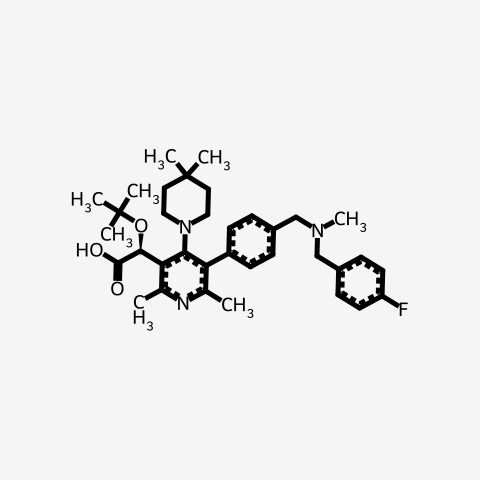 Cc1nc(C)c([C@H](OC(C)(C)C)C(=O)O)c(N2CCC(C)(C)CC2)c1-c1ccc(CN(C)Cc2ccc(F)cc2)cc1